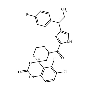 CCC(c1ccc(F)cc1)c1c[nH]c(C(=O)N2CCC[C@@]3(C2)OC(=O)Nc2ccc(Cl)c(F)c23)n1